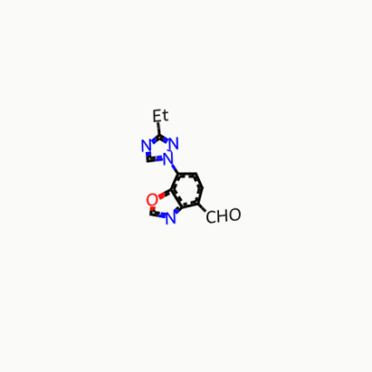 CCc1ncn(-c2ccc(C=O)c3ncoc23)n1